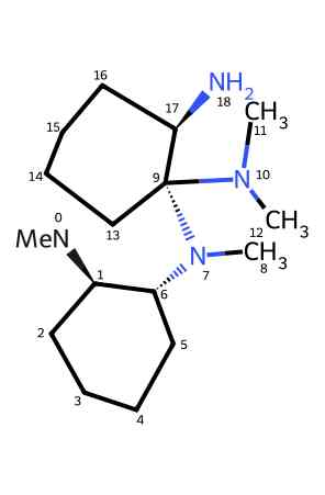 CN[C@@H]1CCCC[C@H]1N(C)[C@]1(N(C)C)CCCC[C@H]1N